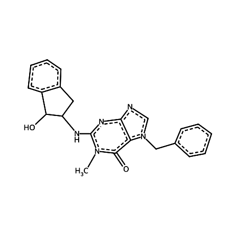 Cn1c(NC2Cc3ccccc3C2O)nc2ncn(Cc3ccccc3)c2c1=O